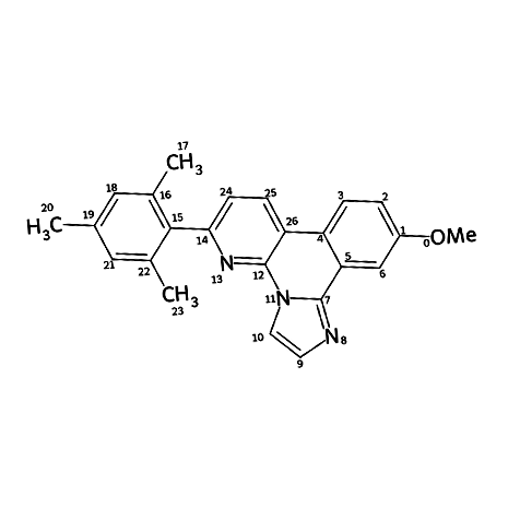 COc1ccc2c(c1)c1nccn1c1nc(-c3c(C)cc(C)cc3C)ccc21